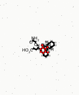 NC(=O)CO/N=C(\CCC(=O)O)c1nc2ccccc2n([C@H]2C[C@H]3CCC[C@@H](C2)N3[C@H]2C[C@@H]3CCC[C@@H](C3)C2)c1=O